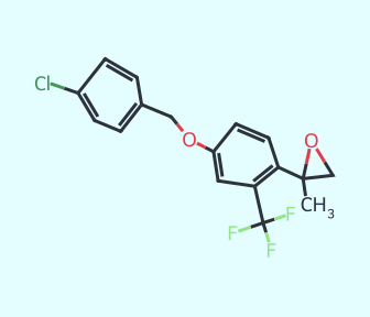 CC1(c2ccc(OCc3ccc(Cl)cc3)cc2C(F)(F)F)CO1